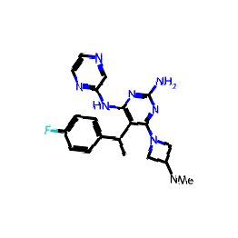 CNC1CN(c2nc(N)nc(Nc3cnccn3)c2C(C)c2ccc(F)cc2)C1